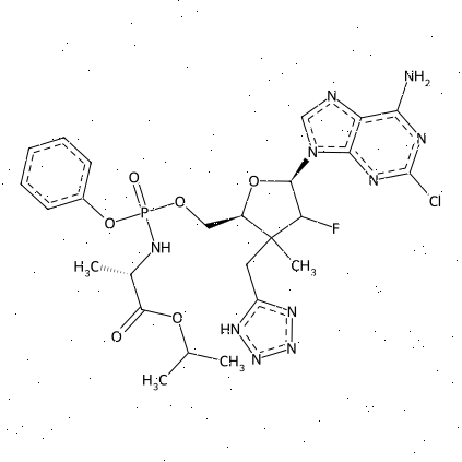 CC(C)OC(=O)[C@H](C)NP(=O)(OC[C@H]1O[C@@H](n2cnc3c(N)nc(Cl)nc32)C(F)C1(C)Cc1nnn[nH]1)Oc1ccccc1